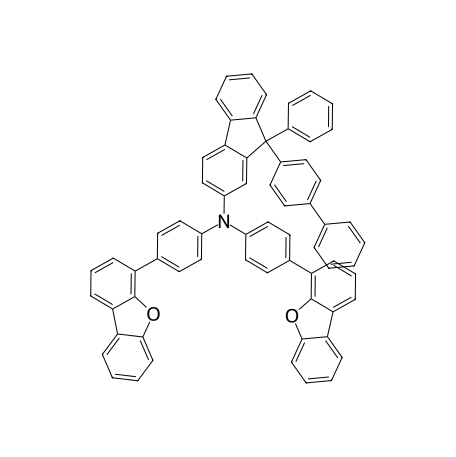 c1ccc(-c2ccc(C3(c4ccccc4)c4ccccc4-c4ccc(N(c5ccc(-c6cccc7c6oc6ccccc67)cc5)c5ccc(-c6cccc7c6oc6ccccc67)cc5)cc43)cc2)cc1